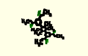 C=CC(F)c1cc(-c2c(C)c(C)c(-c3cc(C(F)C=C)cc(C(F)C=C)c3)c(C)c2C)cc(C(F)C=C)c1